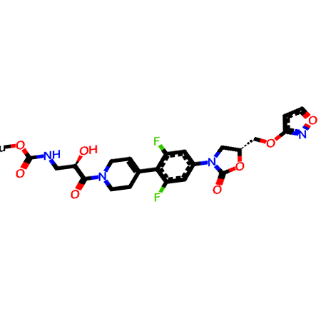 CC(C)(C)OC(=O)NC[C@@H](O)C(=O)N1CC=C(c2c(F)cc(N3C[C@H](COc4ccon4)OC3=O)cc2F)CC1